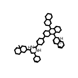 CC12CCCCC1CC(C1CC(C3CC=CCC3)NC(C3CCC(C4CCC5C(C4)C(C4CCC6C=CCC[C@H]6C4)C4CCCCC4C5C4CCC5CCCCC5C4)CC3)N1)CC2